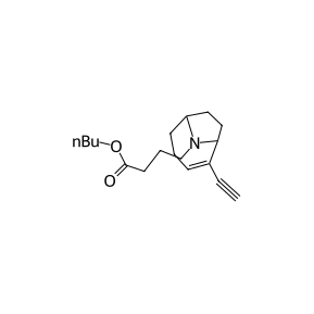 C#CC1=CCCC2CCC1N2CCCC(=O)OCCCC